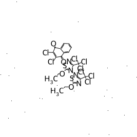 CCOc1nc(C(Cl)(Cl)Cl)ns1.CCOc1nc(C(Cl)(Cl)Cl)ns1.O=C1C(Cl)=C(Cl)C(=O)c2ccccc21